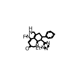 CCn1ncnc1C1C2=NCC(=O)C=C3C2=C(CNN3F)CC1c1ccccc1